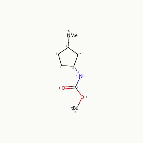 CN[C@H]1CC[C@@H](NC(=O)OC(C)(C)C)C1